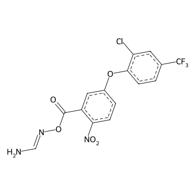 NC=NOC(=O)c1cc(Oc2ccc(C(F)(F)F)cc2Cl)ccc1[N+](=O)[O-]